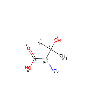 [2H]C(C)(O)[C@H](N)C(=O)O